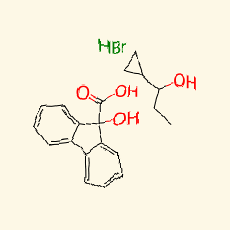 Br.CCC(O)C1CC1.O=C(O)C1(O)c2ccccc2-c2ccccc21